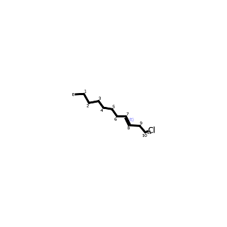 CCCCCCC/C=C/CCCl